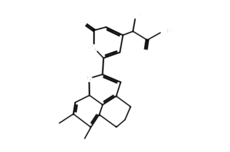 CC1=CC2NC(c3cc(C(O)C(=O)O)cc(=O)[nH]3)=CC3=C2C(=C1C)CCC3